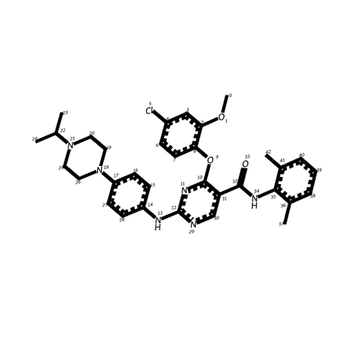 COc1cc(Cl)ccc1Oc1nc(Nc2ccc(N3CCN(C(C)C)CC3)cc2)ncc1C(=O)Nc1c(C)cccc1C